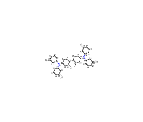 CC1=C(c2ccc(N(c3cccc(C)c3)c3cccc(C)c3)cc2C)C=CC(N(c2cccc(C)c2)c2cccc(C)c2)C1